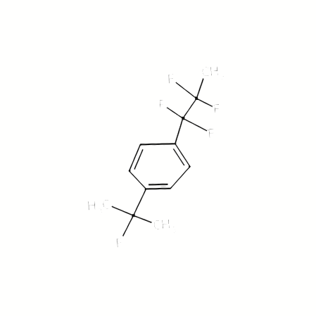 CC(C)(F)c1ccc(C(F)(F)C(C)(F)F)cc1